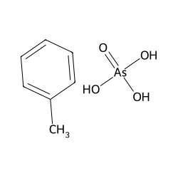 Cc1ccccc1.O=[As](O)(O)O